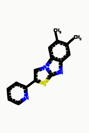 Cc1cc2nc3sc(-c4ccccn4)cn3c2cc1C